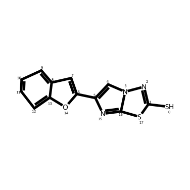 Sc1nn2cc(-c3cc4ccccc4o3)nc2s1